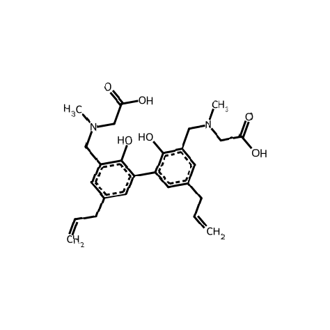 C=CCc1cc(CN(C)CC(=O)O)c(O)c(-c2cc(CC=C)cc(CN(C)CC(=O)O)c2O)c1